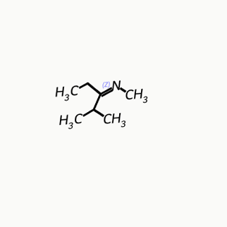 CC/C(=N/C)C(C)C